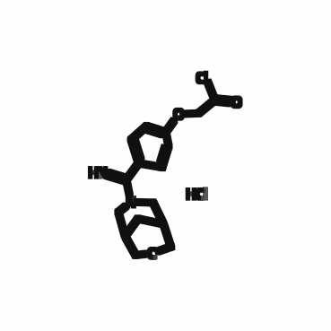 Cl.N=C(c1ccc(OCC(=O)Cl)cc1)N1CC2CCCC(C2)C1